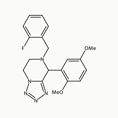 COc1ccc(OC)c(C2c3nnnn3CCN2Cc2ccccc2F)c1